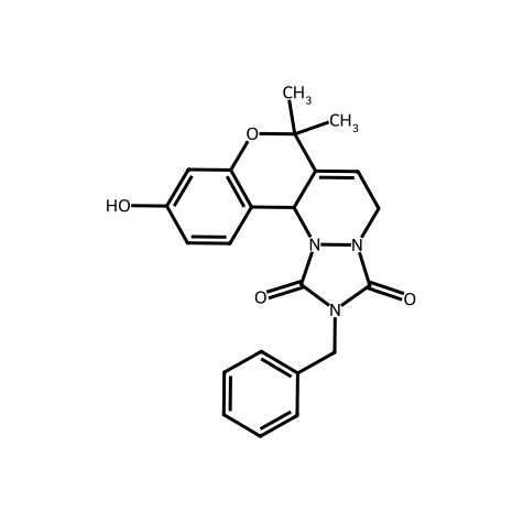 CC1(C)Oc2cc(O)ccc2C2C1=CCn1c(=O)n(Cc3ccccc3)c(=O)n12